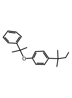 CCC(C)(C)c1ccc(OC(C)(C)c2ccccc2)cc1